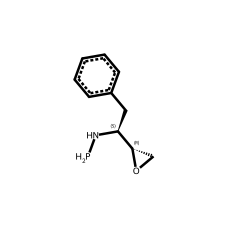 PN[C@@H](Cc1ccccc1)[C@@H]1CO1